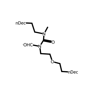 CCCCCCCCCCCCOCCN([C]=O)C(=O)N(C)CCCCCCCCCCCC